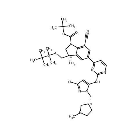 CN1CC[C@@H](Cn2nc(Cl)cc2Nc2nccc(-c3cc(C#N)c4c(c3)[C@@](C)(CO[Si](C)(C)C(C)(C)C)CN4C(=O)OC(C)(C)C)n2)C1